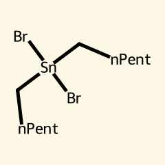 CCCCC[CH2][Sn]([Br])([Br])[CH2]CCCCC